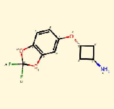 N[C@H]1C[C@H](Oc2ccc3c(c2)OC(F)(F)O3)C1